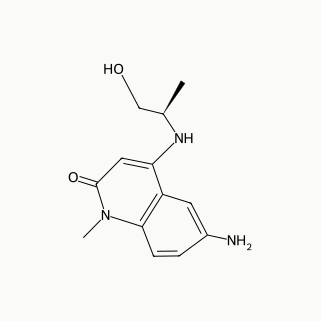 C[C@H](CO)Nc1cc(=O)n(C)c2ccc(N)cc12